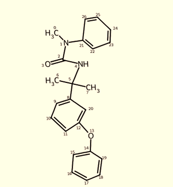 CN(C(=O)NC(C)(C)c1cccc(Oc2ccccc2)c1)c1ccccc1